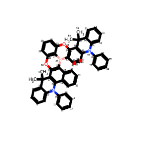 CC1(C)c2ccccc2N(c2ccccc2)c2c1c1c(c3ccccc23)B2c3c(cccc3Oc3c4c(c5ccccc5c32)N(c2ccccc2)c2ccccc2C4(C)C)O1